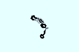 O=S(=O)(Nc1ccccn1)c1ccc(NCCc2ccccc2)cc1